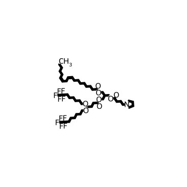 CCCCC/C=C\C/C=C\CCCCCCCC(=O)OCC(COC(=O)CCCN1CCCC1)COC(=O)CCC(OCCCCCCC(F)(F)C(F)(F)F)OCCCCCCC(F)(F)C(F)(F)F